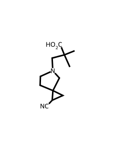 CC(C)(CN1CCC2(CC2C#N)C1)C(=O)O